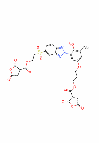 CC(C)(C)c1cc(OCCCOC(=O)C2CC(=O)OC2=O)cc(-n2nc3ccc(S(=O)(=O)CCOC(=O)C4CC(=O)OC4=O)cc3n2)c1O